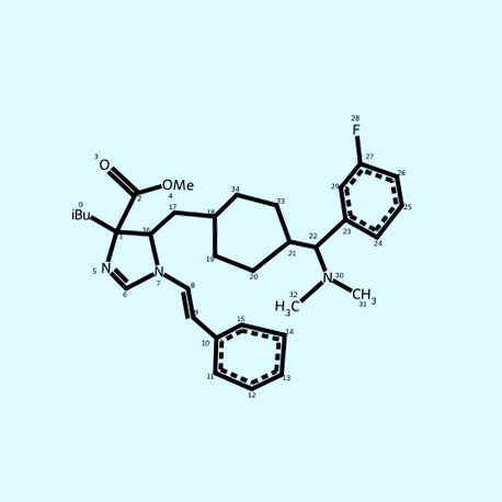 CCC(C)C1(C(=O)OC)N=CN(C=Cc2ccccc2)C1CC1CCC(C(c2cccc(F)c2)N(C)C)CC1